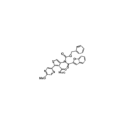 COC(=O)c1c(N(C(=O)OCc2ccccc2)C(=O)c2cc3ccccc3o2)csc1-c1cnc(OC)cn1